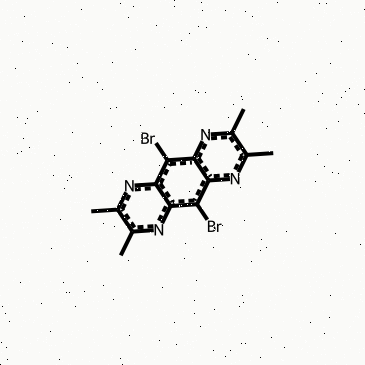 Cc1nc2c(Br)c3nc(C)c(C)nc3c(Br)c2nc1C